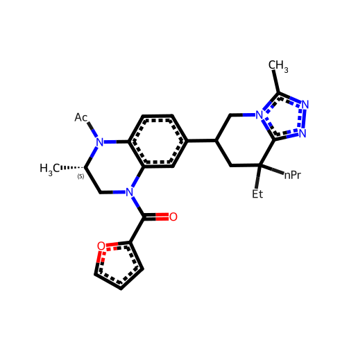 CCCC1(CC)CC(c2ccc3c(c2)N(C(=O)c2ccco2)C[C@H](C)N3C(C)=O)Cn2c(C)nnc21